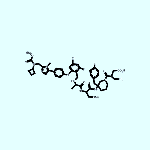 COCC(NC(=O)C(C)NCc1c(F)cc(Cl)cc1Oc1ccc(-c2cnc(CN(C(=O)OC(C)(C)C)C3CCC3)n2C)cc1)C(=O)NC1(Cc2ccc(Cl)cc2)CCCN(C(=O)C(CC(=O)O)CC(F)(F)F)C1